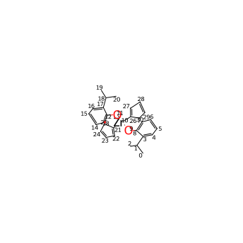 CC(C)c1ccccc1[O][Zr]([O]c1ccccc1C(C)C)([C]1=CC=CC1)[C]1=CC=CC1